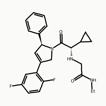 CCNC(=O)CN[C@H](C(=O)N1CC(c2cc(F)ccc2F)=C[C@H]1c1ccccc1)C1CC1